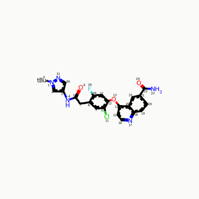 CC(C)(C)n1cc(NC(=O)Cc2cc(Cl)c(Oc3ccnc4ccc(C(N)=O)cc34)cc2F)cn1